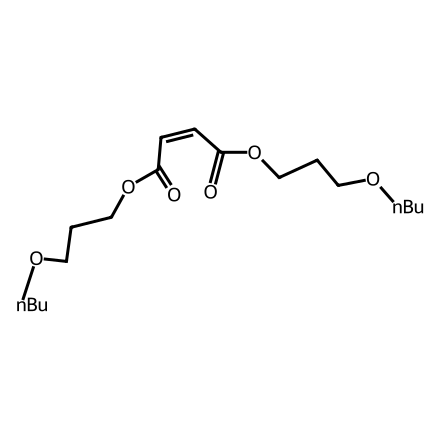 CCCCOCCCOC(=O)/C=C\C(=O)OCCCOCCCC